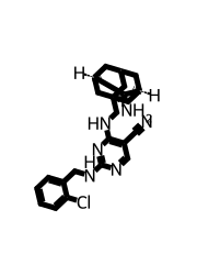 N#Cc1cnc(NCc2ccccc2Cl)nc1NCC12CC3C[C@H](C1)[C@H](N)[C@@H](C3)C2